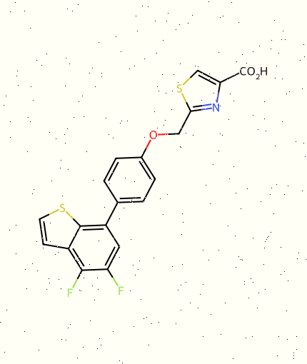 O=C(O)c1csc(COc2ccc(-c3cc(F)c(F)c4ccsc34)cc2)n1